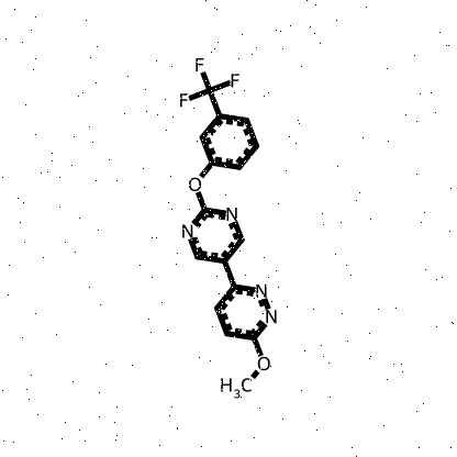 COc1ccc(-c2cnc(Oc3cccc(C(F)(F)F)c3)nc2)nn1